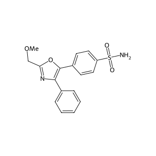 COCc1nc(-c2ccccc2)c(-c2ccc(S(N)(=O)=O)cc2)o1